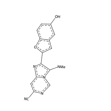 CNc1c(-c2cc3cc(O)ccc3o2)nc2cc(C#N)ncn12